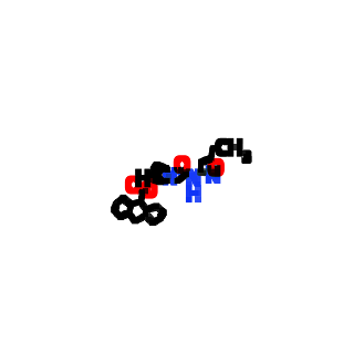 CCc1cc(NC(=O)C[N+]23CCC(CC2)[C@@H](OC(=O)C2c4ccccc4Cc4ccccc42)C3)no1